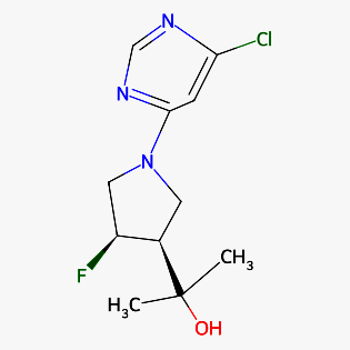 CC(C)(O)[C@@H]1CN(c2cc(Cl)ncn2)C[C@@H]1F